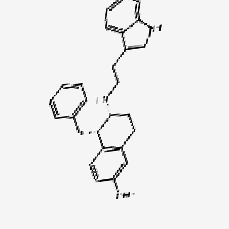 COc1ccc2c(c1)CC[C@@H](NCCc1c[nH]c3ccccc13)[C@H]2Cc1ccccc1